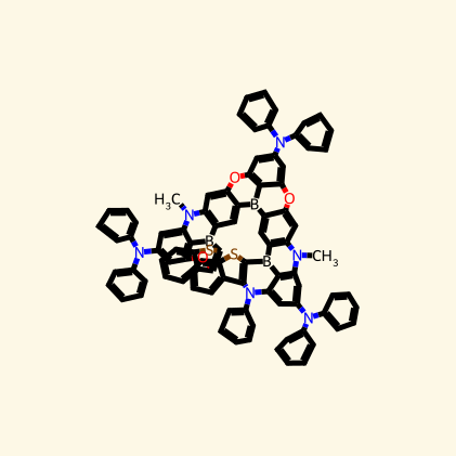 CN1c2cc3c(cc2B2c4sc5ccccc5c4Oc4cc(N(c5ccccc5)c5ccccc5)cc1c42)B1c2cc4c(cc2Oc2cc(N(c5ccccc5)c5ccccc5)cc(c21)O3)N(C)c1cc(N(c2ccccc2)c2ccccc2)cc2c1B4c1sc3ccccc3c1N2c1ccccc1